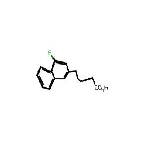 O=C(O)CCCc1cc(F)c2ccccc2c1